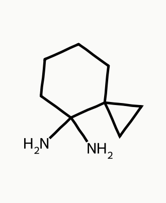 NC1(N)CCCCC12CC2